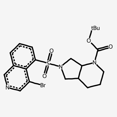 CC(C)(C)OC(=O)N1CCCC2CN(S(=O)(=O)c3cccc4cncc(Br)c34)CC21